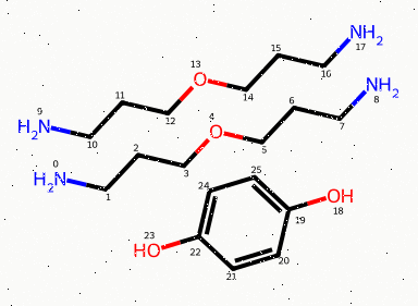 NCCCOCCCN.NCCCOCCCN.Oc1ccc(O)cc1